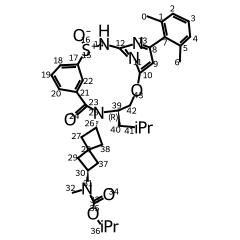 Cc1cccc(C)c1-c1cc2nc(n1)N[S+]([O-])c1cccc(c1)C(=O)N([C@H]1CC3(C[C@H](N(C)C(=O)OC(C)C)C3)C1)[C@H](CC(C)C)CO2